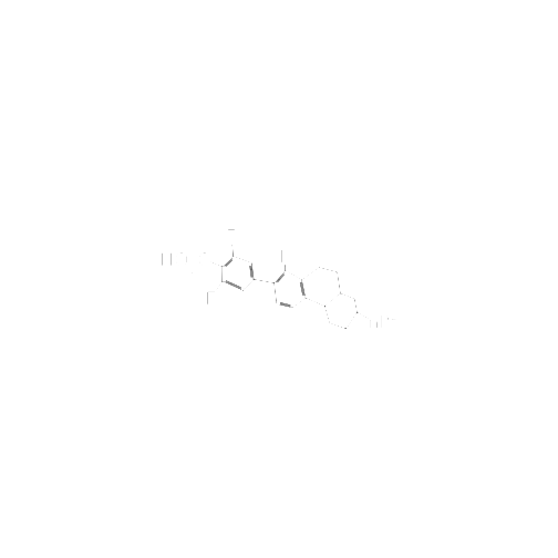 CCCC1CCC2c3ccc(-c4cc(F)c(C(=O)O)c(F)c4)c(F)c3CCC2C1